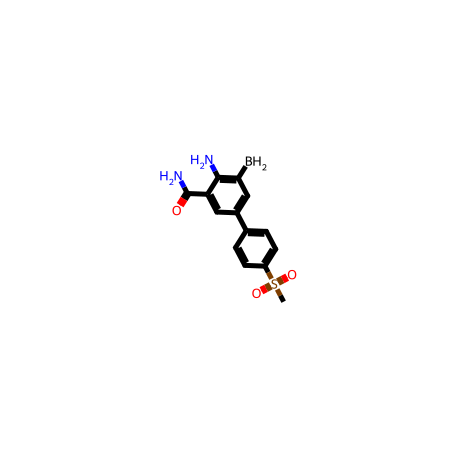 Bc1cc(-c2ccc(S(C)(=O)=O)cc2)cc(C(N)=O)c1N